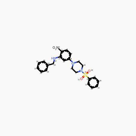 O=[N+]([O-])c1ccc(N2CCN(S(=O)(=O)c3ccccc3)CC2)cc1NCc1ccccc1